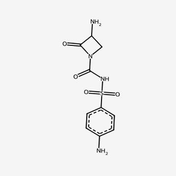 Nc1ccc(S(=O)(=O)NC(=O)N2CC(N)C2=O)cc1